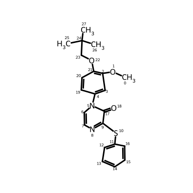 COc1cc(-n2ccnc(Sc3ccccc3)c2=O)ccc1OCC(C)(C)C